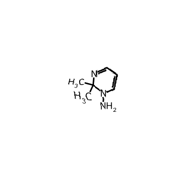 CC1(C)N=CC=CN1N